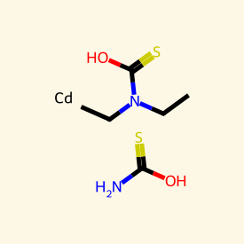 CCN(CC)C(O)=S.NC(O)=S.[Cd]